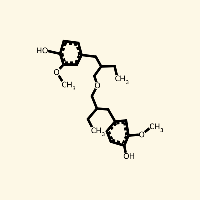 CCC(COCC(CC)Cc1ccc(O)c(OC)c1)Cc1ccc(O)c(OC)c1